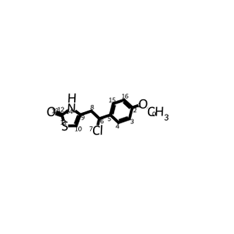 COc1ccc(C(Cl)Cc2csc(=O)[nH]2)cc1